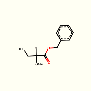 COC(C)(CC=O)C(=O)OCc1ccccc1